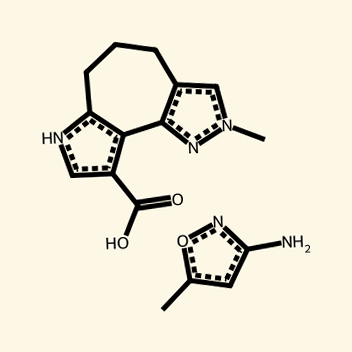 Cc1cc(N)no1.Cn1cc2c(n1)-c1c(C(=O)O)c[nH]c1CCC2